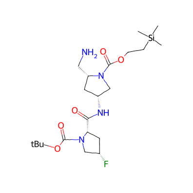 CC(C)(C)OC(=O)N1C[C@@H](F)C[C@H]1C(=O)N[C@@H]1C[C@H](CN)N(C(=O)OCC[Si](C)(C)C)C1